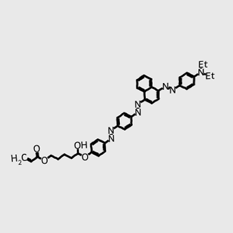 C=CC(=O)OCCCCC(O)Oc1ccc(/N=N/c2ccc(/N=N/c3ccc(/N=N/c4ccc(N(CC)CC)cc4)c4ccccc34)cc2)cc1